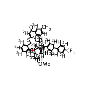 [2H]c1c([2H])c(F)c(F)c(CSc2c([2H])c(=O)c3c([2H])c(C)c([2H])c([2H])c3n2CC(=O)N(C([2H])([2H])c2c([2H])c([2H])c(-c3c([2H])c([2H])c(C(F)(F)F)c([2H])c3[2H])c([2H])c2[2H])C2([2H])C([2H])([2H])C([2H])([2H])N(C([2H])([2H])COC)C([2H])([2H])C2([2H])[2H])c1[2H]